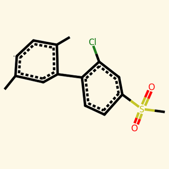 Cc1[c]cc(C)c(-c2ccc(S(C)(=O)=O)cc2Cl)c1